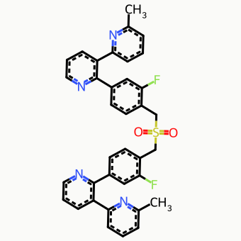 Cc1cccc(-c2cccnc2-c2ccc(CS(=O)(=O)Cc3ccc(-c4ncccc4-c4cccc(C)n4)cc3F)c(F)c2)n1